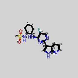 CS(=O)(=O)N[C@@H]1CCCCC1Nc1nc(-c2c[nH]c3ncccc23)ncc1F